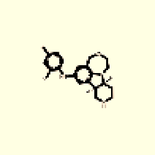 CC(=O)c1cc(C)ccc1Nc1cc2c3c(c1)[C@@H]1CNCC[C@@H]1N3CCOC2